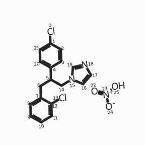 Clc1ccc(C(Cc2ccccc2Cl)Cn2ccnc2)cc1.O=[N+]([O-])O